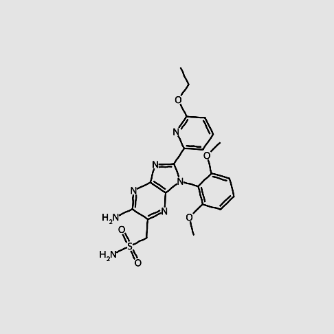 CCOc1cccc(-c2nc3nc(N)c(CS(N)(=O)=O)nc3n2-c2c(OC)cccc2OC)n1